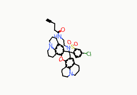 C#CCCC(=O)NCCN1C2(c3ccc(Cl)cc3S1(=O)=O)c1cc3c4c(c1Oc1c2cc2c5c1CCCN5CCC2)CCCN4CCC3